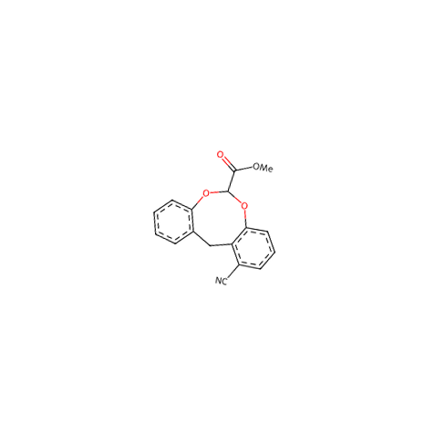 COC(=O)C1Oc2ccccc2Cc2c(C#N)cccc2O1